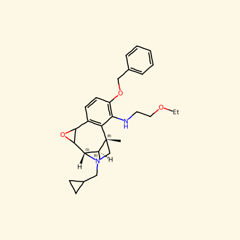 CCOCCNc1c(OCc2ccccc2)ccc2c1[C@]1(C)CN(CC3CC3)[C@H](C3OC23)[C@@H]1C